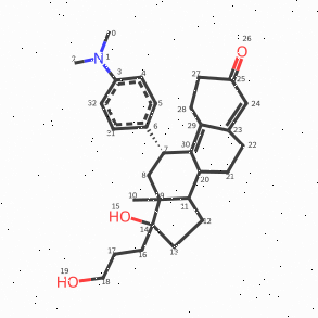 CN(C)c1ccc([C@H]2CC3(C)C(CCC3(O)CCCO)C3CCC4=CC(=O)CCC4=C32)cc1